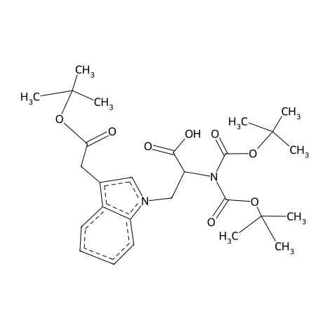 CC(C)(C)OC(=O)Cc1cn(CC(C(=O)O)N(C(=O)OC(C)(C)C)C(=O)OC(C)(C)C)c2ccccc12